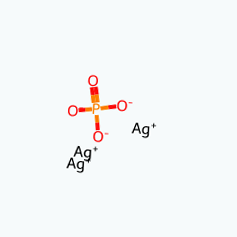 O=P([O-])([O-])[O-].[Ag+].[Ag+].[Ag+]